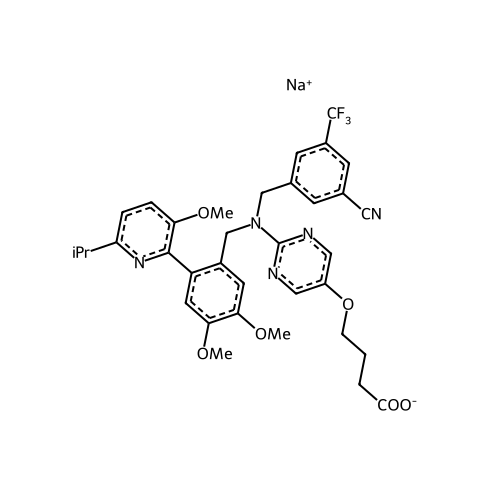 COc1cc(CN(Cc2cc(C#N)cc(C(F)(F)F)c2)c2ncc(OCCCC(=O)[O-])cn2)c(-c2nc(C(C)C)ccc2OC)cc1OC.[Na+]